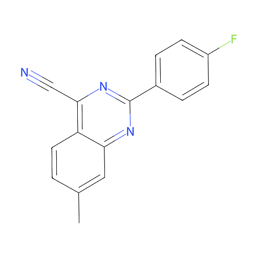 Cc1ccc2c(C#N)nc(-c3ccc(F)cc3)nc2c1